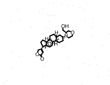 C[C@]12CC[C@H](N3CCOCC3CO)C[C@H]1CC[C@@H]1[C@@H]2CC[C@]2(C)[C@@H](C3=CC(=O)OC3)CC[C@]12O